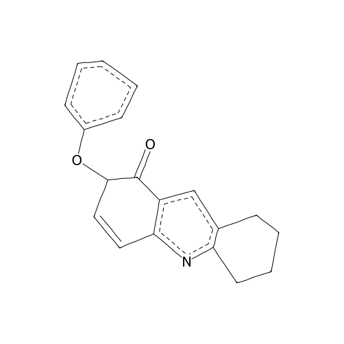 O=C1c2cc3c(nc2C=CC1Oc1ccccc1)CCCC3